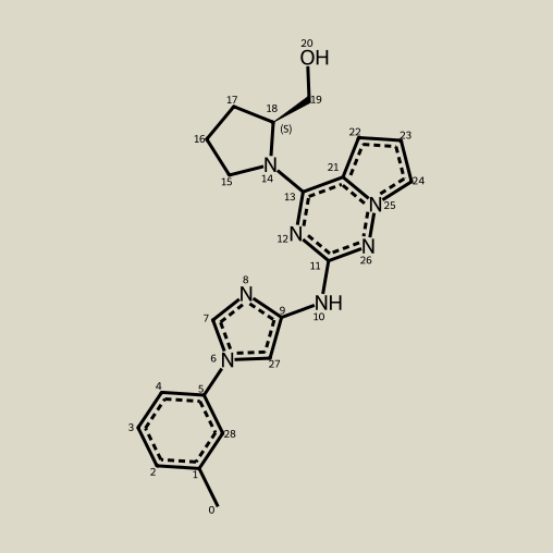 Cc1cccc(-n2cnc(Nc3nc(N4CCC[C@H]4CO)c4cccn4n3)c2)c1